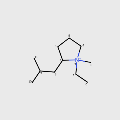 CC[N+]1(C)CCCC1CC(C)C